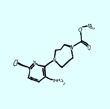 CC(C)(C)OC(=O)N1CCN(c2nc(Cl)ccc2[N+](=O)[O-])CC1